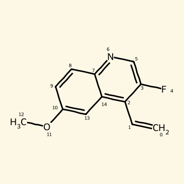 C=Cc1c(F)cnc2ccc(OC)cc12